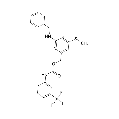 CSc1cc(COC(=O)Nc2cccc(C(F)(F)F)c2)nc(NCc2ccccc2)n1